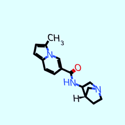 Cc1ccc2ccc(C(=O)NC3CN4CC[C@H]3C4)cn12